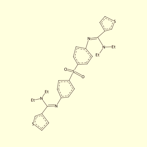 CCN(CC)C(=Nc1ccc(S(=O)(=O)c2ccc(N=C(c3ccsc3)N(CC)CC)cc2)cc1)c1ccsc1